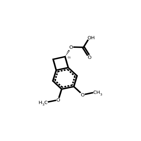 COc1cc2c(cc1OC)[C@@H](OC(=O)O)C2